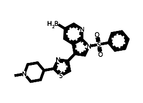 Bc1cnc2c(c1)c(-c1csc(C3CCN(C)CC3)n1)cn2S(=O)(=O)c1ccccc1